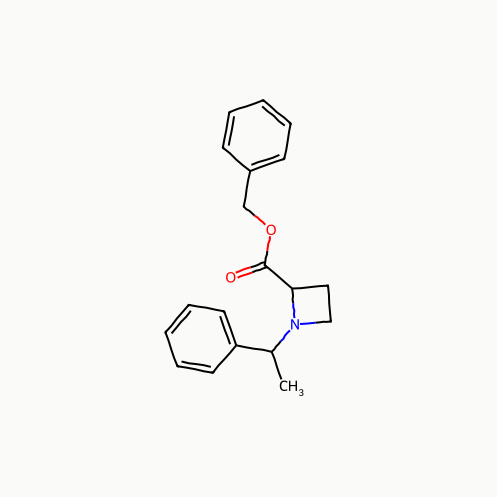 CC(c1ccccc1)N1CCC1C(=O)OCc1ccccc1